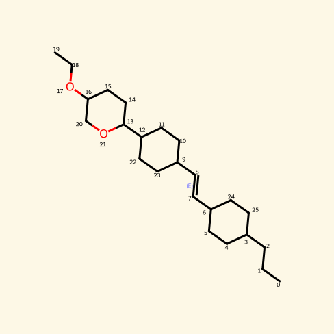 CCCC1CCC(/C=C/C2CCC(C3CCC(OCC)CO3)CC2)CC1